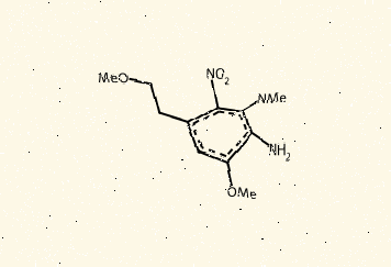 CNc1c(N)c(OC)cc(CCOC)c1[N+](=O)[O-]